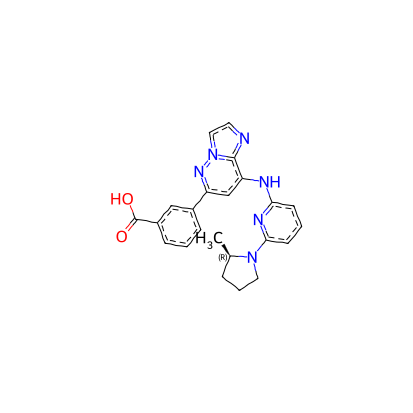 C[C@@H]1CCCN1c1cccc(Nc2cc(-c3cccc(C(=O)O)c3)nn3ccnc23)n1